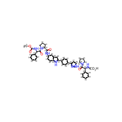 CC(C)OC(=O)NC(C(=O)N1CCC[C@H]1C(=O)Nc1ccc2[nH]c(-c3ccc(-c4cc([C@@H]5CCCN5C(=O)C(NC(=O)O)c5ccccc5)[nH]n4)cc3)cc2c1)c1ccccc1